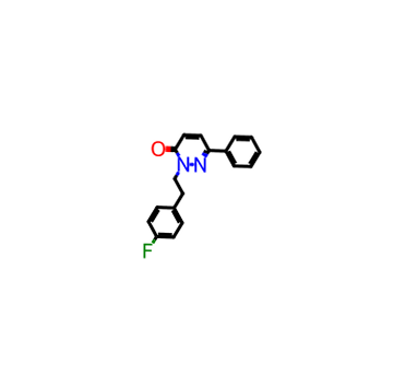 O=c1ccc(-c2ccccc2)nn1CCc1ccc(F)cc1